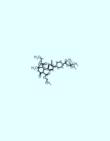 CCOC(=O)C1C(=O)CC(C)(O)C(C(=O)OCC)C1c1ccc(N2CCN(C(=O)OC(C)(C)C)CC2)c(F)c1